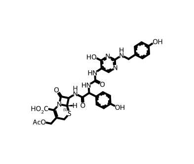 CC(=O)OCC1=C(C(=O)O)N2C(=O)C(NC(=O)C(NC(=O)Nc3cnc(NCc4ccc(O)cc4)nc3O)c3ccc(O)cc3)[C@@H]2SC1